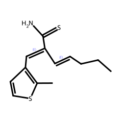 CCC/C=C/C(=C\c1ccsc1C)C(N)=S